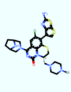 CCN1CCN(C[C@H]2CSc3c(-c4csc5sc(N)nc45)c(Cl)cc4c(N5CC6CCC(C5)N6)nc(=O)n2c34)CC1